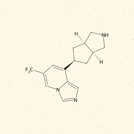 FC(F)(F)c1cc([C@H]2C[C@H]3CNC[C@H]3C2)c2cncn2c1